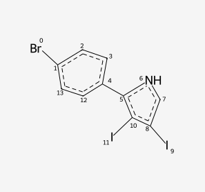 Brc1ccc(-c2[nH]cc(I)c2I)cc1